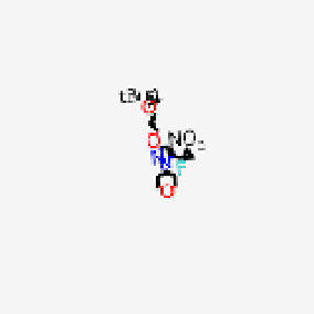 CC(C)(C)[Si](C)(C)OCCCOc1nn(C2CCOCC2)c(C2(F)CC2)c1[N+](=O)[O-]